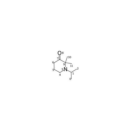 CC(C)N1CCCC(=O)C1(C)C